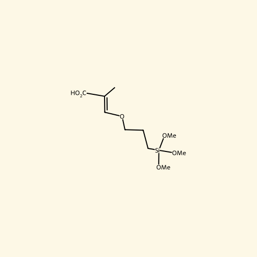 CO[Si](CCCOC=C(C)C(=O)O)(OC)OC